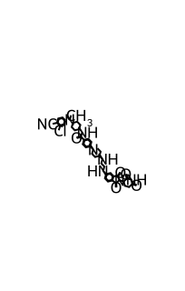 CN(c1ccc(C#N)c(Cl)c1)[C@H]1CC[C@H](NC(=O)c2ccc(N3CCC(NCCNc4ccc5c(c4)C(=O)N(C4CCC(=O)NC4=O)C5=O)CC3)cc2)CC1